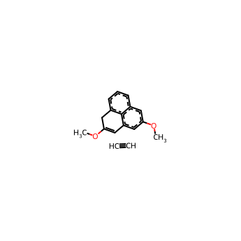 C#C.COC1=Cc2cc(OC)cc3cccc(c23)C1